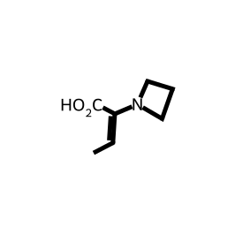 CC=C(C(=O)O)N1CCC1